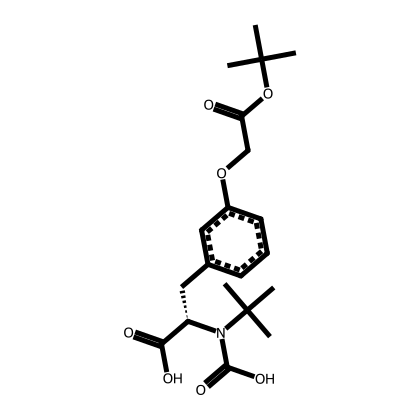 CC(C)(C)OC(=O)COc1cccc(C[C@@H](C(=O)O)N(C(=O)O)C(C)(C)C)c1